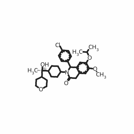 COc1cc2c(cc1OC(C)C)C(c1ccc(Cl)cc1)N(C1CCC([C@](C)(O)C3CCOCC3)CC1)C(=O)C2